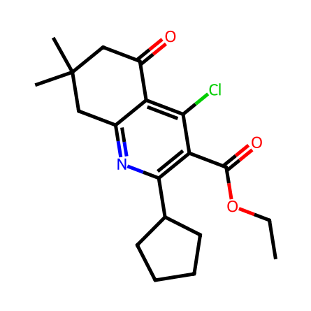 CCOC(=O)c1c(C2CCCC2)nc2c(c1Cl)C(=O)CC(C)(C)C2